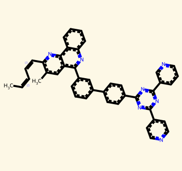 C/C=C\C=C/c1nc2c(cc1C)c(-c1cccc(-c3ccc(-c4nc(-c5ccncc5)nc(-c5cccnc5)n4)cc3)c1)nc1ccccc12